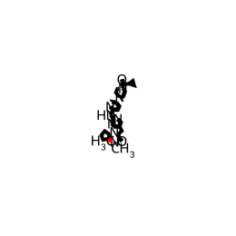 CN(C)C(=O)C1Cc2cnc(Nc3ccc(N4CCN(C(=O)C5CC5)CC4)cn3)nc2N1C1CCCC1